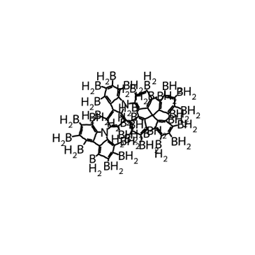 Bc1c(B)c(B)c(C(c2c(B)c(B)c(B)c(B)c2B)(c2c(B)c(B)c(B)c(B)c2B)c2c(B)c(B)c(B)c(-n3c4c(B)c(B)c(B)c(B)c4c4c(B)c(-n5c6c(B)c(B)c(B)c(B)c6c6c(B)c(B)c(B)c(B)c65)c(B)c(B)c43)c2B)c(B)c1B